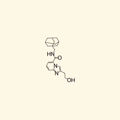 O=C(NCC12CC3CC(CC(C3)C1)C2)c1cccc2nc(CCO)cn12